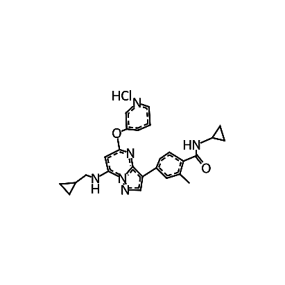 Cc1cc(-c2cnn3c(NCC4CC4)cc(Oc4cccnc4)nc23)ccc1C(=O)NC1CC1.Cl